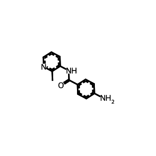 Cc1ncccc1NC(=O)c1ccc(N)cc1